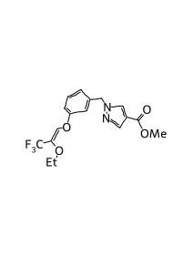 CCO/C(=C\Oc1cccc(Cn2cc(C(=O)OC)cn2)c1)C(F)(F)F